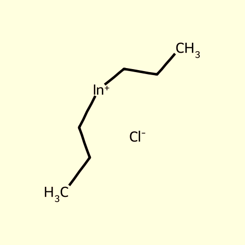 CC[CH2][In+][CH2]CC.[Cl-]